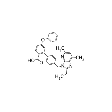 CCc1nc2c(C)cc(C)nc2n1Cc1ccc(-c2cc(Oc3ccccc3)ccc2C(=O)O)cc1